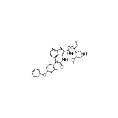 C=CC(=O)[C@]1(NC(=O)c2sc3nccc4c3c2NC(=O)N4c2ccc(Oc3ccccc3)cc2C)CNC[C@H]1OC